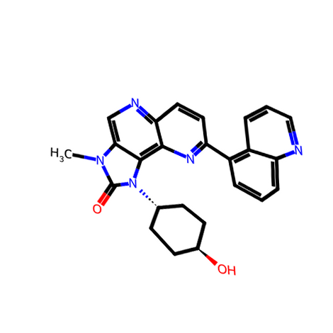 Cn1c(=O)n([C@H]2CC[C@H](O)CC2)c2c3nc(-c4cccc5ncccc45)ccc3ncc21